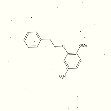 COc1ccc([N+](=O)[O-])cc1OCCc1ccccc1